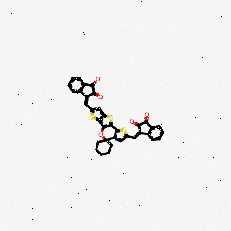 O=C1C(=O)c2ccccc2/C1=C/c1cc2c(s1)-c1sc3cc(/C=C4\C(=O)C(=O)c5ccccc54)sc3c1OC21CCCCC1